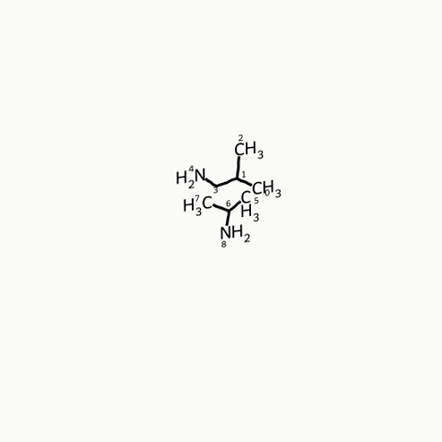 CC(C)CN.CC(C)N